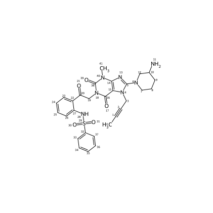 CC#CCn1c(N2CCCC(N)C2)nc2c1c(=O)n(CC(=O)c1ccccc1NS(=O)(=O)c1ccccc1)c(=O)n2C